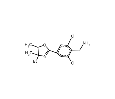 CCC1(C)N=C(c2cc(Cl)c(CN)c(Cl)c2)OC1C